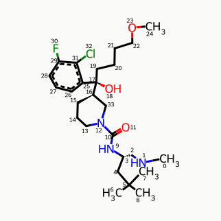 CNC[C@H](CC(C)(C)C)NC(=O)N1CCC[C@@H]([C@@](O)(CCCCOC)c2cccc(F)c2Cl)C1